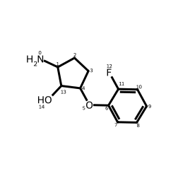 NC1CCC(Oc2ccccc2F)C1O